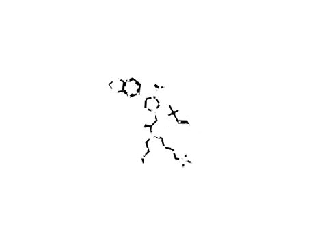 C/C=C/C(C)(C)C[C@H]1[C@H](C(=O)O)[C@@H](c2ccc3c(c2)OCO3)CN1CC(=O)N(CCCC)CCCC[N+](C)(C)C